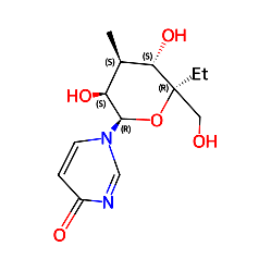 CC[C@]1(CO)O[C@@H](n2ccc(=O)nc2)[C@@H](O)[C@@H](C)[C@@H]1O